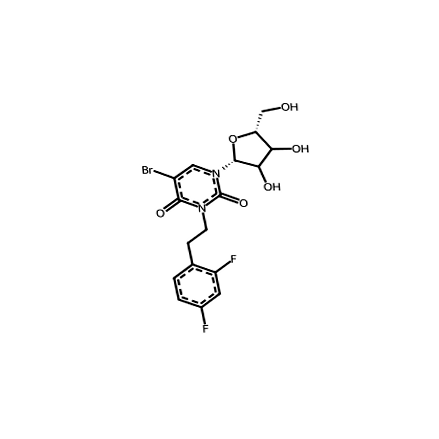 O=c1c(Br)cn([C@@H]2O[C@H](CO)C(O)C2O)c(=O)n1CCc1ccc(F)cc1F